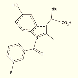 Cc1c(C(C(=O)O)C(C)(C)C)c2cc(O)ccc2n1C(=O)c1cccc(F)c1